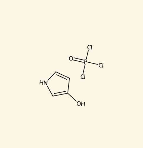 O=P(Cl)(Cl)Cl.Oc1cc[nH]c1